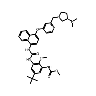 COC(=O)Nc1cc(C(C)(C)C)cc(NC(=O)Nc2ccc(Oc3ccnc(CN4CC[C@@H](N(C)C)C4)c3)c3ccccc23)c1OC